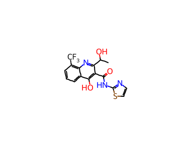 CC(O)c1nc2c(C(F)(F)F)cccc2c(O)c1C(=O)Nc1nccs1